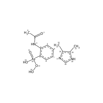 CC(=O)Nc1ccccc1[As](=O)(O)OO.Cc1nc[nH]c1C